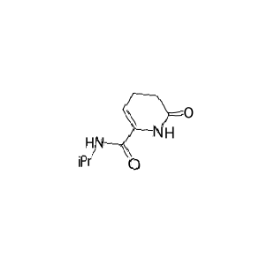 CC(C)NC(=O)C1=CCCC(=O)N1